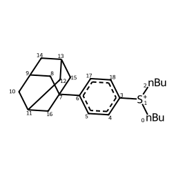 CCCC[S+](CCCC)c1ccc(C23CC4CC(CC(C4)C2)C3)cc1